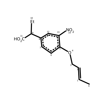 CC=CCOc1ccc(C(CC)C(=O)O)cc1[N+](=O)[O-]